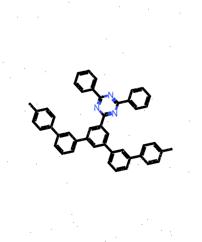 Cc1ccc(-c2cccc(-c3cc(-c4cccc(-c5ccc(C)cc5)c4)cc(-c4nc(-c5ccccc5)nc(-c5ccccc5)n4)c3)c2)cc1